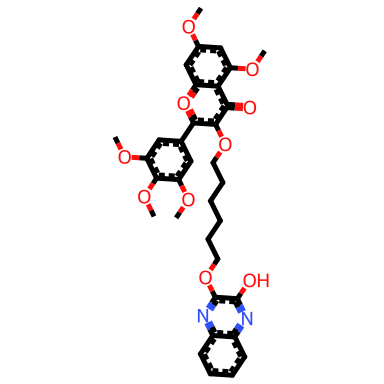 COc1cc(OC)c2c(=O)c(OCCCCCCOc3nc4ccccc4nc3O)c(-c3cc(OC)c(OC)c(OC)c3)oc2c1